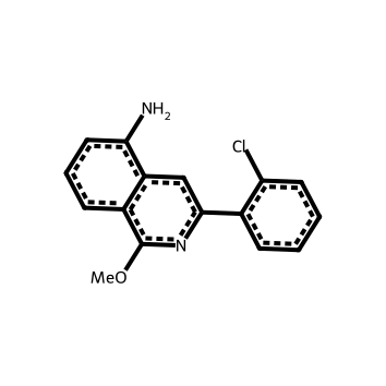 COc1nc(-c2ccccc2Cl)cc2c(N)cccc12